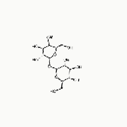 OC[C@H]1O[C@@H](OC2O[C@H](CO)[C@H](O)[C@H](O)[C@H]2O)[C@H](O)[C@@H](O)[C@H]1O